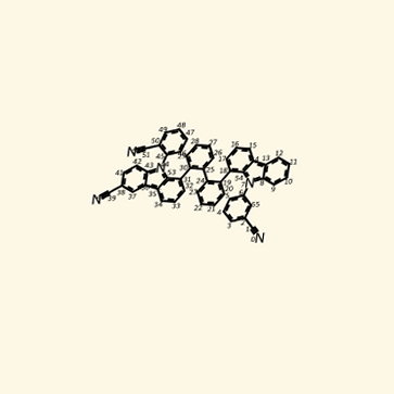 N#Cc1cccc(-n2c3ccccc3c3cccc(-c4ccccc4-c4ccccc4-c4cccc5c6cc(C#N)ccc6n(-c6ccccc6C#N)c45)c32)c1